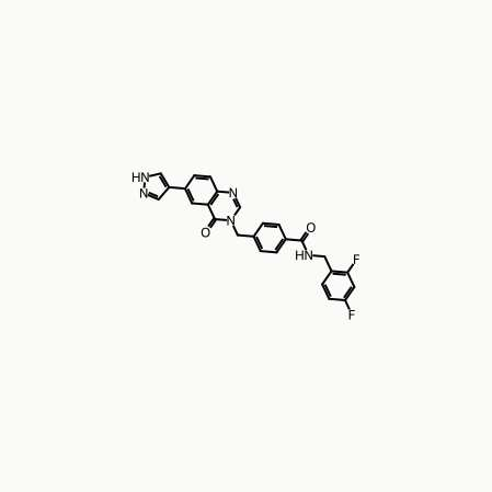 O=C(NCc1ccc(F)cc1F)c1ccc(Cn2cnc3ccc(-c4cn[nH]c4)cc3c2=O)cc1